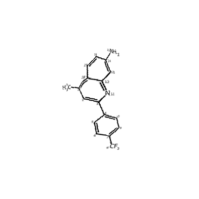 Cc1cc(-c2ccc(C(F)(F)F)cc2)nc2cc(N)ccc12